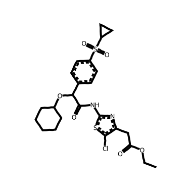 CCOC(=O)Cc1nc(NC(=O)C(OC2CCCCC2)c2ccc(S(=O)(=O)C3CC3)cc2)sc1Cl